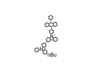 CCCCc1ccc2c(c1)c1cc(-c3ccc4c(c3)c3ccccc3n4-c3ccc(-c4c5ccccc5c(-c5ccccc5)c5ccccc45)cc3)ccc1n2-c1ccccc1